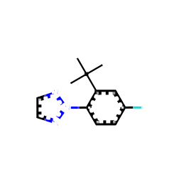 CC(C)(C)c1cc(F)ccc1-n1nccn1